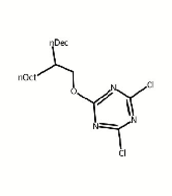 CCCCCCCCCCC(CCCCCCCC)COc1nc(Cl)nc(Cl)n1